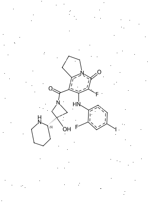 O=C(c1c(Nc2ccc(I)cc2F)c(F)c(=O)n2c1CCC2)N1CC(O)([C@@H]2CCCCN2)C1